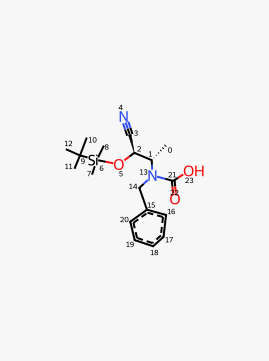 C[C@@H]([C@H](C#N)O[Si](C)(C)C(C)(C)C)N(Cc1ccccc1)C(=O)O